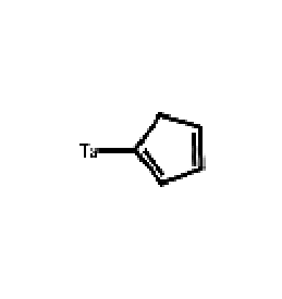 [Ta][C]1=CC=CC1